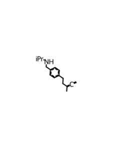 C=C=C(C)CCc1ccc(CNC(C)C)cc1